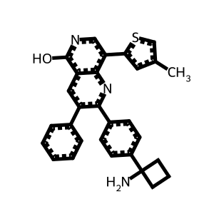 Cc1csc(-c2cnc(O)c3cc(-c4ccccc4)c(-c4ccc(C5(N)CCC5)cc4)nc23)c1